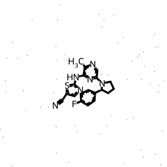 Cc1ncc(N2CCCC2c2ccc(F)cc2)nc1Nc1ncc(C#N)s1